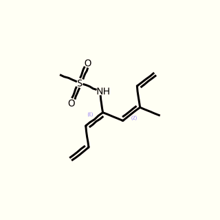 C=C/C=C(\C=C(\C)C=C)NS(C)(=O)=O